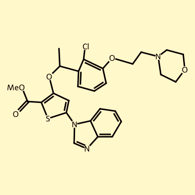 COC(=O)c1sc(-n2cnc3ccccc32)cc1OC(C)c1cccc(OCCN2CCOCC2)c1Cl